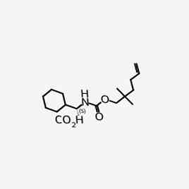 C=CCCC(C)(C)COC(=O)N[C@H](C(=O)O)C1CCCCC1